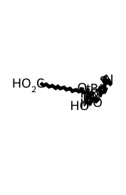 Cc1ncsc1-c1ccc(CNC(=O)[C@@H]2C[C@@H](O)CN2C(=O)C(NC(=O)CCCCCCCCCCCCCC(=O)O)C(C)(C)C)cc1